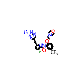 Nc1ncc(C#Cc2ccc(F)c(C(=O)Nc3cc(C(F)(F)F)ccc3OCCN3CCOCC3)c2)cn1